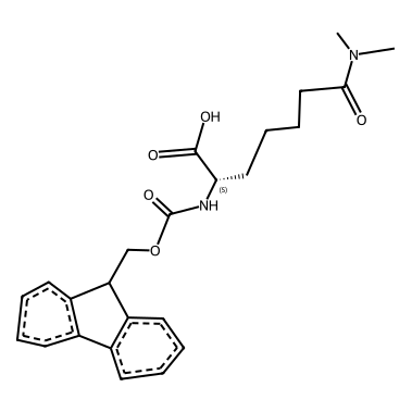 CN(C)C(=O)CCCC[C@H](NC(=O)OCC1c2ccccc2-c2ccccc21)C(=O)O